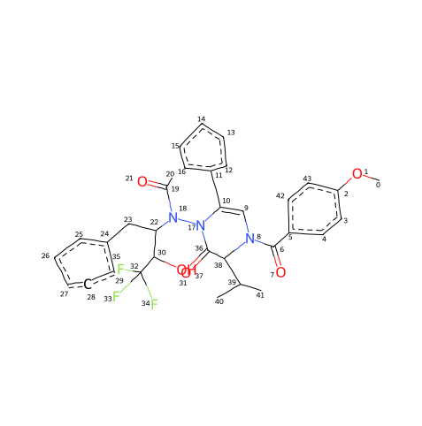 COc1ccc(C(=O)N2C=C(c3ccccc3)N(N(C(C)=O)C(Cc3ccccc3)C(O)C(F)(F)F)C(=O)C2C(C)C)cc1